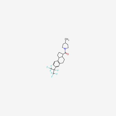 CC1CCN(C(=O)C2CCC3c4ccc(C(F)(C(F)(F)F)C(F)(F)F)cc4CCC23)CC1